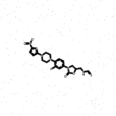 O=C1OC(CNC=S)CN1c1ccc(N2CCN(c3ccc([N+](=O)[O-])s3)CC2)c(F)c1